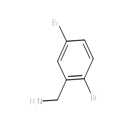 NCc1cc(Br)ccc1Br